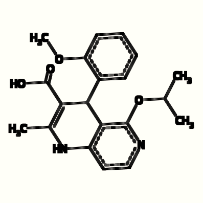 COc1ccccc1C1C(C(=O)O)=C(C)Nc2ccnc(OC(C)C)c21